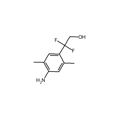 Cc1cc(C(F)(F)CO)c(C)cc1N